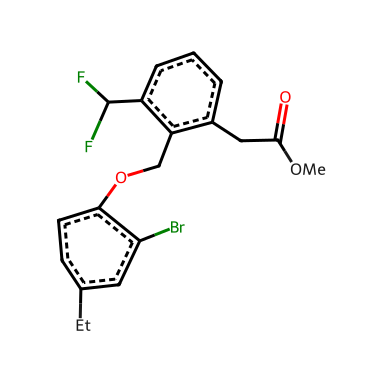 CCc1ccc(OCc2c(CC(=O)OC)cccc2C(F)F)c(Br)c1